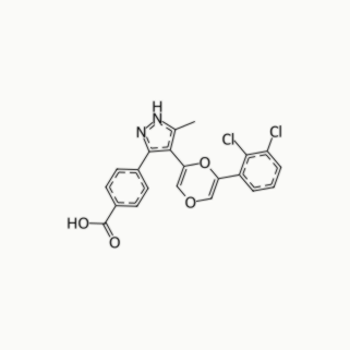 Cc1[nH]nc(-c2ccc(C(=O)O)cc2)c1C1=COC=C(c2cccc(Cl)c2Cl)O1